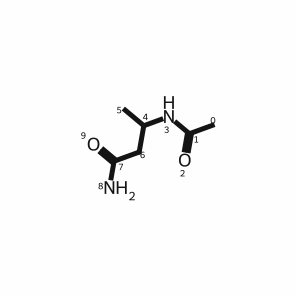 CC(=O)NC(C)CC(N)=O